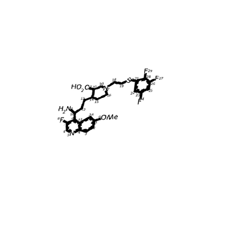 COc1ccc2ncc(F)c(C(N)CCC3CCN(CCSc4cc(F)cc(F)c4F)CC3C(=O)O)c2c1